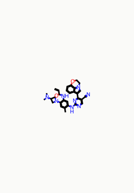 C=CC(=O)Nc1cc(Nc2ncc(C#N)c(-c3cn4c5c(cccc35)OCC4)n2)c(C)cc1N1CC(N(C)C)C1